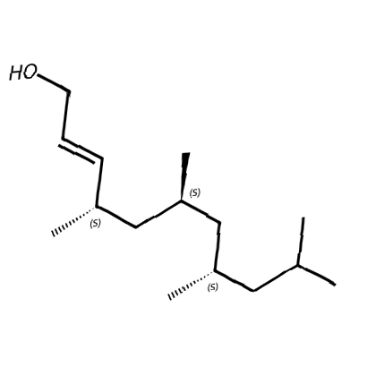 CC(C)C[C@H](C)C[C@H](C)C[C@H](C)C=CCO